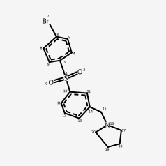 O=S(=O)(c1ccc(Br)cc1)c1cccc(CN2CCCC2)c1